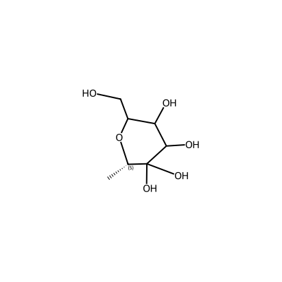 C[C@@H]1OC(CO)C(O)C(O)C1(O)O